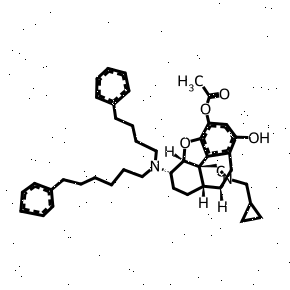 CC(=O)Oc1cc(O)c2c3c1O[C@H]1[C@@H](N(CCCCCCc4ccccc4)CCCCc4ccccc4)CC[C@H]4[C@@H](C2)N(CC2CC2)CC[C@@]341